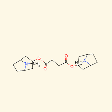 CN1C2CCC1CC(OC(=O)CCC(=O)OC1CC3CCC(C1)N3C)C2